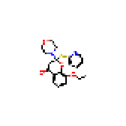 CCOc1cccc2c1OC(Sc1ccccn1)(N1CCOCC1)CC2=O